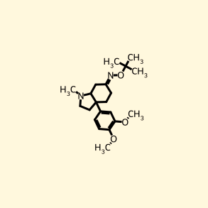 COc1ccc(C23CCC(=NOC(C)(C)C)CC2N(C)CC3)cc1OC